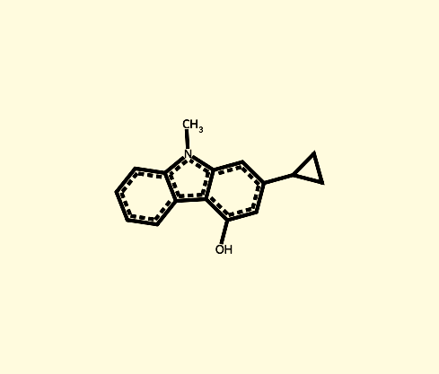 Cn1c2ccccc2c2c(O)cc(C3CC3)cc21